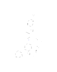 COc1ccc(NC(=O)/C=C/c2cc(-c3ccccc3)c(N)c(C(N)=O)c2S(N)(=O)=O)cc1